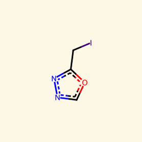 ICc1nnco1